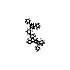 c1ccc(-c2cc(-c3cccc(-c4ccc5c(c4)c4ccccc4c4cc6c(cc54)c4ccccc4n6-c4ccccc4)c3)nc(-c3ccccc3)n2)cc1